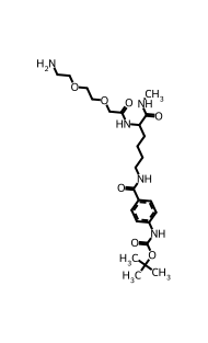 CNC(=O)C(CCCCNC(=O)c1ccc(NC(=O)OC(C)(C)C)cc1)NC(=O)COCCOCCN